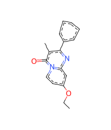 CCOc1ccn2c(=O)c(C)c(-c3ccccc3)nc2c1